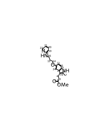 COC(=O)CCc1c(C)[nH]c2ccc(OCCCNc3ccccn3)cc12